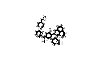 COCC1CCN(c2ccnc(Nc3ccc(C(=O)N(c4nccc5cccc(C)c45)[C@@H]4CCCNC4)c(F)c3)n2)CC1